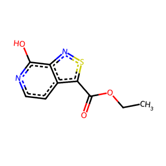 CCOC(=O)c1snc2c(O)nccc12